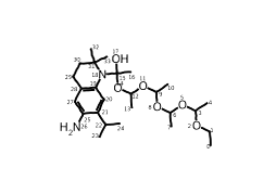 CCOC(C)OC(C)OC(C)OC(C)OC(C)(O)N1c2cc(C(C)C)c(N)cc2CCC1(C)C